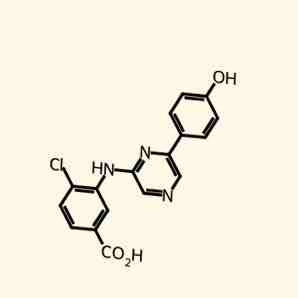 O=C(O)c1ccc(Cl)c(Nc2cncc(-c3ccc(O)cc3)n2)c1